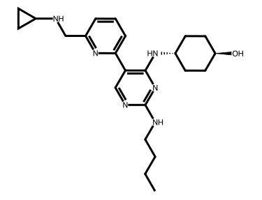 CCCCNc1ncc(-c2cccc(CNC3CC3)n2)c(N[C@H]2CC[C@H](O)CC2)n1